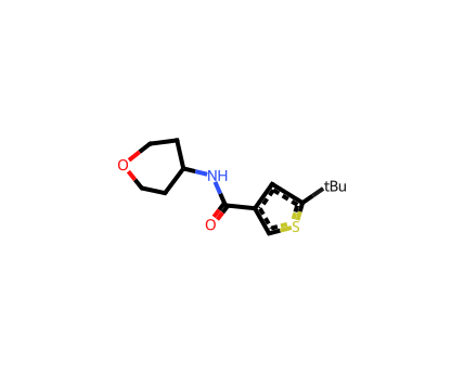 CC(C)(C)c1cc(C(=O)NC2CCOCC2)cs1